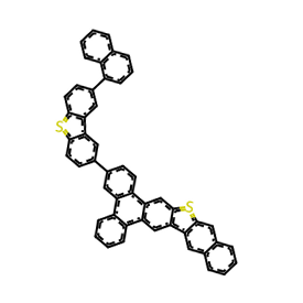 c1ccc2cc3c(cc2c1)sc1cc2c4ccc(-c5ccc6sc7ccc(-c8cccc9ccccc89)cc7c6c5)cc4c4ccccc4c2cc13